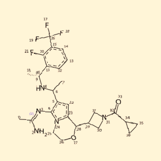 C/C(N)=N/c1c(C(C)N[C@H](C)c2cccc(C(F)(F)F)c2F)cc2n1CCOC2C1CN(C(=O)C2CC2)C1